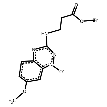 CC(C)OC(=O)CCNc1nc2ccc(OC(F)(F)F)cc2[n+]([O-])n1